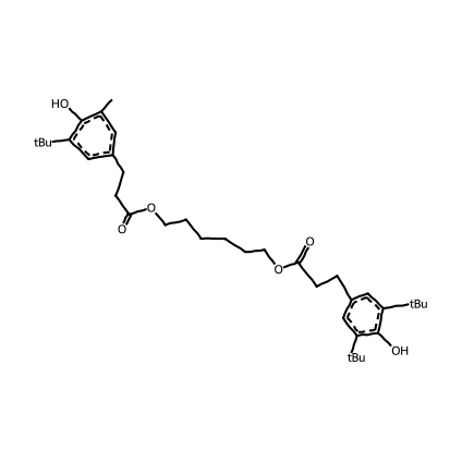 Cc1cc(CCC(=O)OCCCCCCOC(=O)CCc2cc(C(C)(C)C)c(O)c(C(C)(C)C)c2)cc(C(C)(C)C)c1O